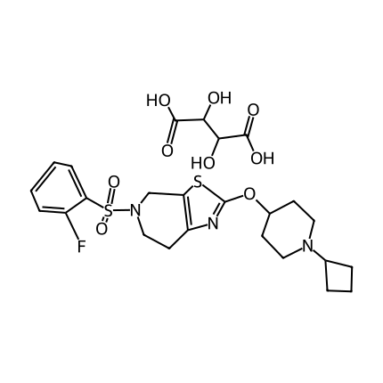 O=C(O)C(O)C(O)C(=O)O.O=S(=O)(c1ccccc1F)N1CCc2nc(OC3CCN(C4CCC4)CC3)sc2C1